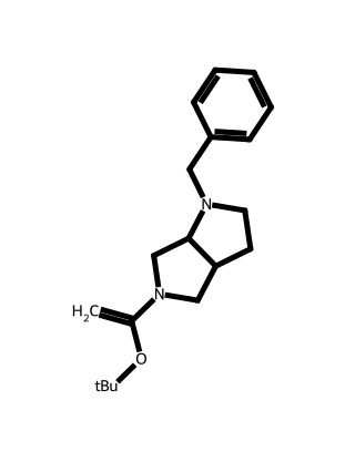 C=C(OC(C)(C)C)N1CC2CCN(Cc3ccccc3)C2C1